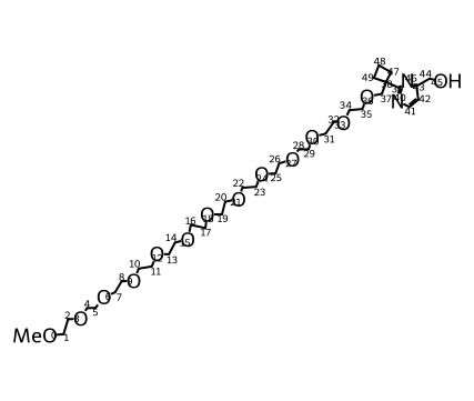 COCCOCCOCCOCCOCCOCCOCCOCCOCCOCCOCCOCCOCC1(c2nccc(CO)n2)CCC1